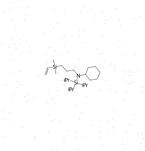 C=C[Si](C)(C)CCCN(C1CCCCC1)[Si](C(C)C)(C(C)C)C(C)C